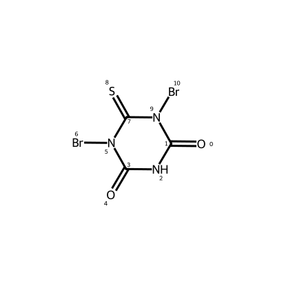 O=c1[nH]c(=O)n(Br)c(=S)n1Br